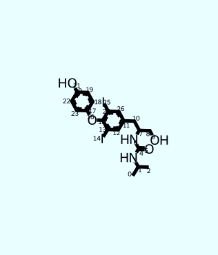 CC(C)NC(=O)NC(CO)Cc1cc(I)c(Oc2ccc(O)cc2)c(I)c1